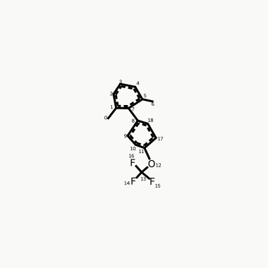 Cc1cccc(C)c1-c1ccc(OC(F)(F)F)cc1